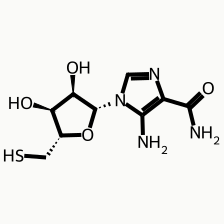 NC(=O)c1ncn([C@@H]2O[C@H](CS)[C@@H](O)[C@H]2O)c1N